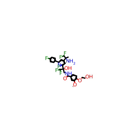 COc1cc(C(=O)NCC(O)(c2cc(C(C)(N)C(F)F)cc(-c3ccc(F)cc3)n2)C(F)(F)F)ccc1OCCO